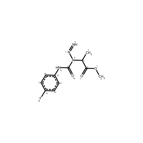 COC(=O)C(C)N(N=N)C(=O)Nc1ccc(F)cc1